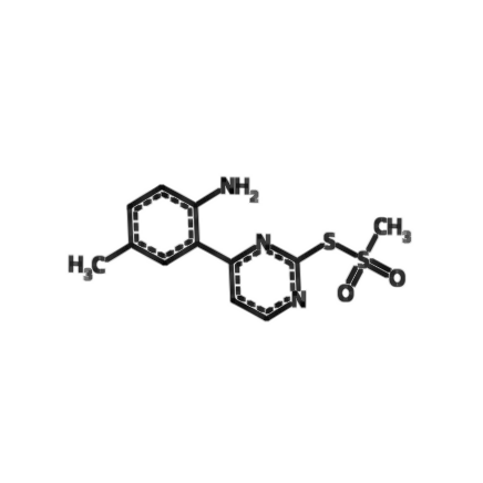 Cc1ccc(N)c(-c2ccnc(SS(C)(=O)=O)n2)c1